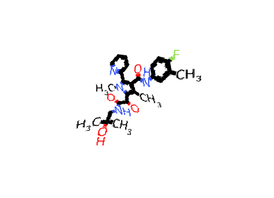 Cc1cc(NC(=O)c2c(C)c(C(=O)C(=O)NCC(C)(C)O)n(C)c2-c2ccccn2)ccc1F